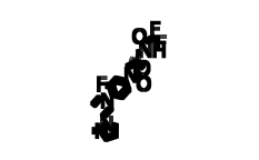 CCN(CCN1CCCN1C)c1ccc(N2C[C@H](CNC(=O)C(F)F)OC2=O)cc1F